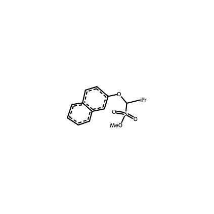 COS(=O)(=O)C(Oc1ccc2ccccc2c1)C(C)C